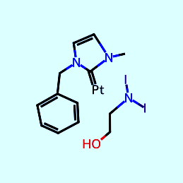 Cn1ccn(Cc2ccccc2)[c]1=[Pt].OCCN(I)I